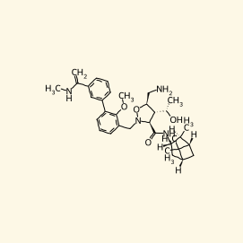 C=C(NC)c1cccc(-c2cccc(CN3O[C@@H](CN)[C@H]([C@H](C)O)[C@H]3C(=O)N[C@H]3C[C@H]4C[C@@H]([C@@H]3C)C4(C)C)c2OC)c1